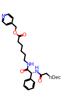 CCCCCCCCCCCC(=O)N[C@@H](C(=O)NCCCCCC(=O)OCc1ccncc1)c1ccccc1